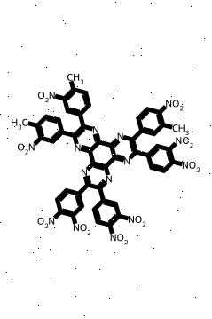 Cc1cc(-c2nc3c4nc(-c5ccc(C)c([N+](=O)[O-])c5)c(-c5ccc(C)c([N+](=O)[O-])c5)nc4c4nc(-c5ccc([N+](=O)[O-])c([N+](=O)[O-])c5)c(-c5ccc([N+](=O)[O-])c([N+](=O)[O-])c5)nc4c3nc2-c2ccc([N+](=O)[O-])c([N+](=O)[O-])c2)ccc1[N+](=O)[O-]